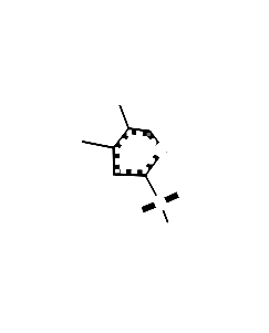 Cc1cnc(S(C)(=O)=O)cc1I